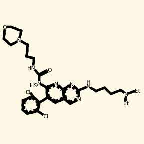 CCN(CC)CCCCNc1ncc2cc(-c3c(Cl)cccc3Cl)c(N(S)C(=O)NCCCN3CCOCC3)nc2n1